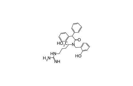 N=C(N)NCCC[C@H](C(=O)O)N(Cc1ccccc1O)C(=O)C(c1ccccc1)c1ccccc1